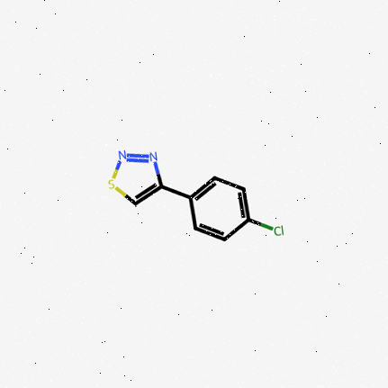 Clc1ccc(-c2[c]snn2)cc1